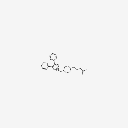 C=C(C)CCCC1CCC(Cn2cc(C3=CCCC=C3)c(-c3ccccc3)n2)CC1